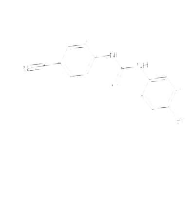 N#Cc1ccc(NC(=O)Nc2ccc(Br)cc2)cc1